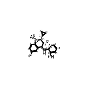 CC(=O)N1c2ccc(F)cc2C(Nc2ncccc2C#N)[C@@H](C)[C@@H]1C1CC1